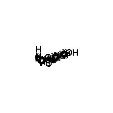 O=S(=O)(c1ccc2cc[nH]c2c1)N1CC2CN(c3ccc(O)cc3)CCC21